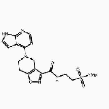 CNS(=O)(=O)CCNC(=O)c1noc2c1CN(c1ncnc3[nH]ccc13)CC2